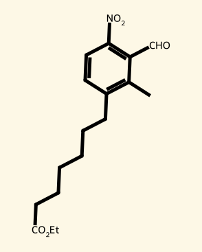 CCOC(=O)CCCCCCc1ccc([N+](=O)[O-])c(C=O)c1C